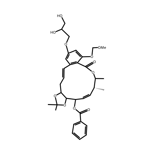 COCOc1cc(OCC(O)CO)cc2c1C(=O)OC(C)[C@H](C)/C=C\C(OC(=O)c1ccccc1)C1OC(C)(C)OC1C/C=C/2